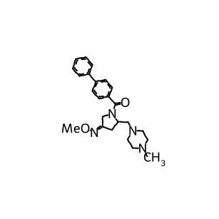 CON=C1CC(CN2CCN(C)CC2)N(C(=O)c2ccc(-c3ccccc3)cc2)C1